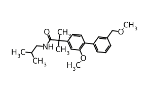 COCc1cccc(-c2ccc(C(C)(C)C(=O)NCC(C)C)cc2OC)c1